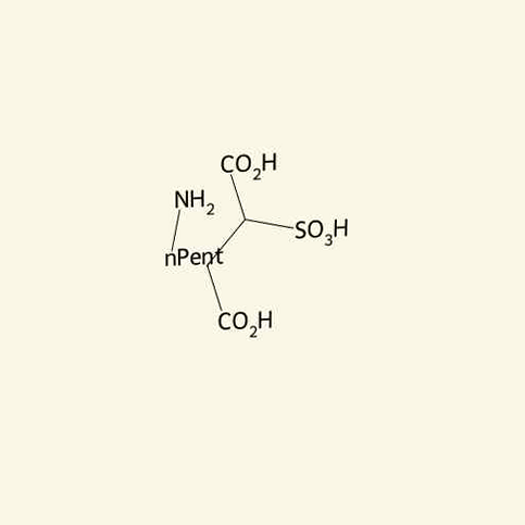 CCCCCN.O=C(O)CC(C(=O)O)S(=O)(=O)O